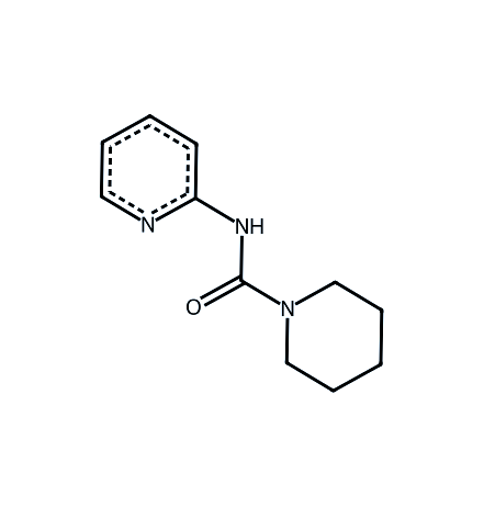 O=C(Nc1ccccn1)N1CCCCC1